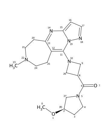 CO[C@@H]1CCN(C(=O)C2CN(c3c4c(nc5ccnn35)CCN(C)CC4)C2)C1